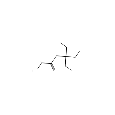 CCC(CF)(CF)CC(=O)CO